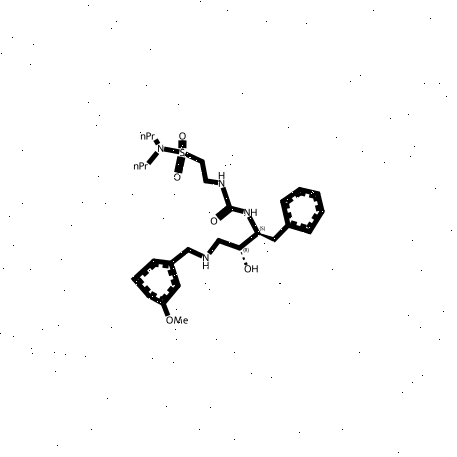 CCCN(CCC)S(=O)(=O)CCNC(=O)N[C@@H](Cc1ccccc1)[C@H](O)CNCc1cccc(OC)c1